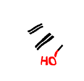 C=C.C=C.CO